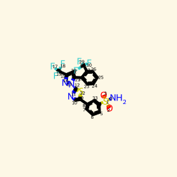 NS(=O)(=O)c1cccc(-c2cnc(-n3nc(C(F)(F)F)cc3-c3ccccc3C(F)(F)F)s2)c1